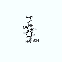 CN(C)CCNC(=O)c1ccc(B(O)O)cc1.Cl